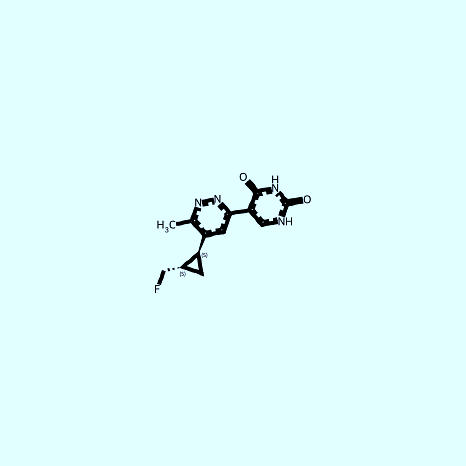 Cc1nnc(-c2c[nH]c(=O)[nH]c2=O)cc1[C@H]1C[C@@H]1CF